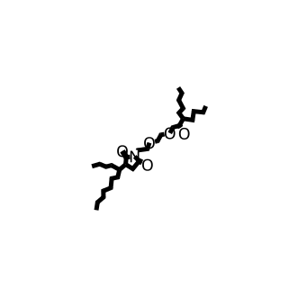 CCCCCCCC(CCCC)C1CC(=O)N(CCOCCOCC(=O)C(CCCC)CCCCC)C1=O